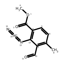 COC(=O)c1ccc(C)c(C=O)c1N=[N+]=[N-]